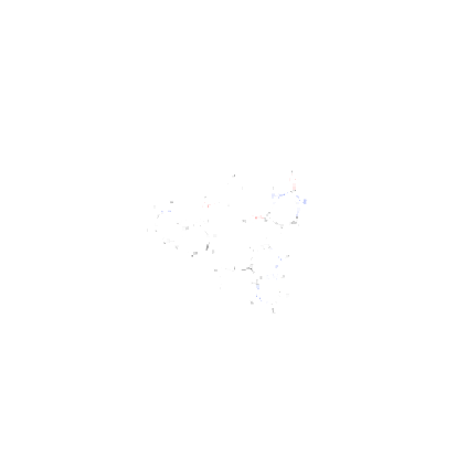 O=c1[nH]cc(-c2cc([C@H]3C[C@@H]3c3cc(OCC(F)(F)F)c4ncccc4c3)c3nccn3n2)c(=O)[nH]1